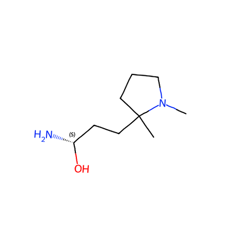 CN1CCCC1(C)CC[C@@H](N)O